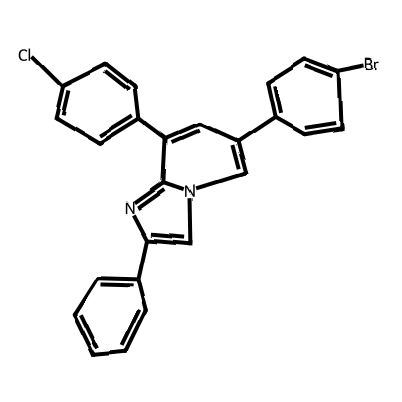 Clc1ccc(-c2cc(-c3ccc(Br)cc3)cn3cc(-c4ccccc4)nc23)cc1